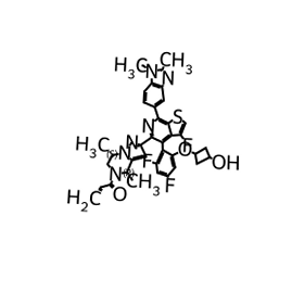 C=CC(=O)N1C[C@H](C)n2nc(-c3nc(-c4ccc5c(c4)nc(C)n5C)c4scc(F)c4c3-c3c(F)cc(F)cc3OC3CC(O)C3)cc2[C@H]1C